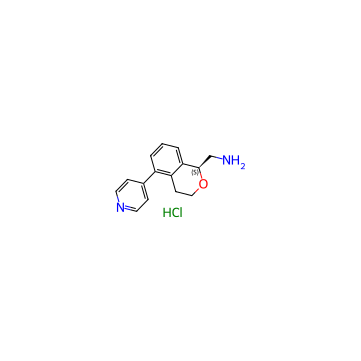 Cl.NC[C@H]1OCCc2c(-c3ccncc3)cccc21